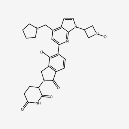 O=C1CCC(N2Cc3c(ccc(-c4cc(CN5CCCC5)c5ccn(C6C[S+]([O-])C6)c5n4)c3Cl)C2=O)C(=O)N1